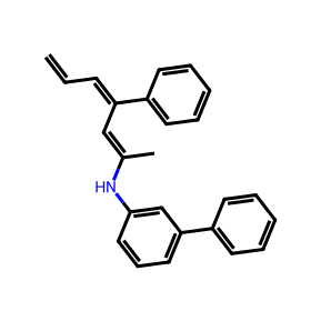 C=C/C=C(\C=C(/C)Nc1cccc(-c2ccccc2)c1)c1ccccc1